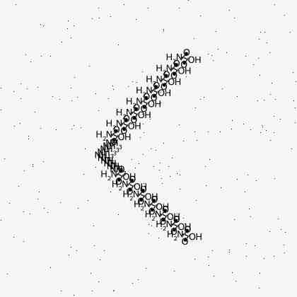 N.N.N.N.N.N.N.N.N.N.NS(=O)(=O)O.NS(=O)(=O)O.NS(=O)(=O)O.NS(=O)(=O)O.NS(=O)(=O)O.NS(=O)(=O)O.NS(=O)(=O)O.NS(=O)(=O)O.NS(=O)(=O)O.NS(=O)(=O)O.NS(=O)(=O)O.NS(=O)(=O)O.NS(=O)(=O)O.NS(=O)(=O)O.NS(=O)(=O)O